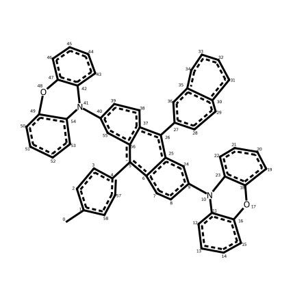 Cc1ccc(-c2c3ccc(N4c5ccccc5Oc5ccccc54)cc3c(-c3ccc4ccccc4c3)c3ccc(N4c5ccccc5Oc5ccccc54)cc23)cc1